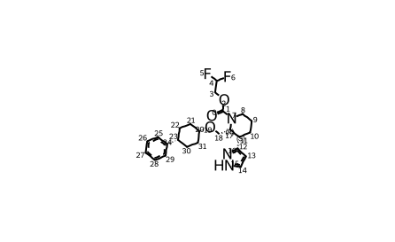 O=C(OCC(F)F)N1CCC[C@H](c2cc[nH]n2)[C@@H]1CO[C@H]1CC[C@@H](c2ccccc2)CC1